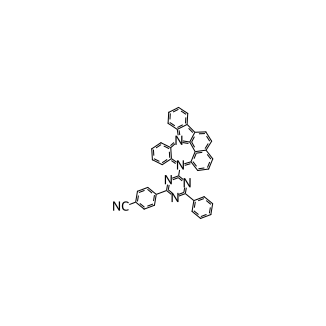 N#Cc1ccc(-c2nc(-c3ccccc3)nc(-n3c4cccc5ccc6c7ccccc7n(c7ccccc73)c6c54)n2)cc1